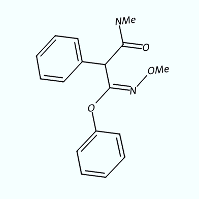 CNC(=O)C(C(=NOC)Oc1ccccc1)c1ccccc1